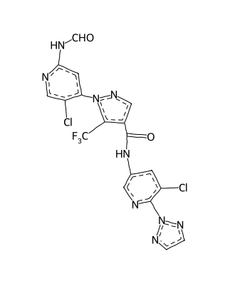 O=CNc1cc(-n2ncc(C(=O)Nc3cnc(-n4nccn4)c(Cl)c3)c2C(F)(F)F)c(Cl)cn1